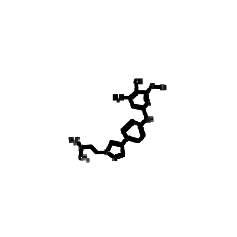 CCOc1nc(Nc2ccc(-c3cnn(CCN(C)C)c3)cc2)cc(N)c1C#N